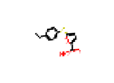 CCc1ccc(Sc2ccc(C(=O)O)o2)cc1